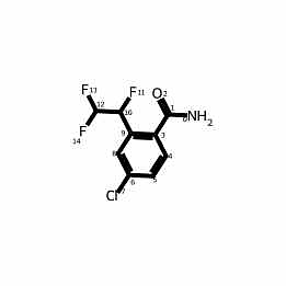 NC(=O)c1ccc(Cl)cc1C(F)C(F)F